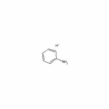 Nc1ccccc1.[H+]